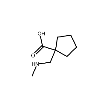 CNCC1(C(=O)O)CCCC1